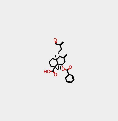 C=C(C=O)CC[C@@H]1C(=C)C[C@@H](OC(=O)c2ccccc2)[C@@H]2[C@]1(C)CCC[C@@]2(C)C(=O)O